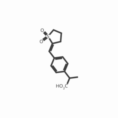 CC(C(=O)O)c1ccc(/C=C2\CCCS2(=O)=O)cc1